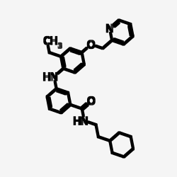 CCc1cc(OCc2ccccn2)ccc1Nc1cccc(C(=O)NCCC2CCCCC2)c1